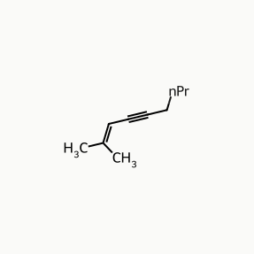 CCCCC#CC=C(C)C